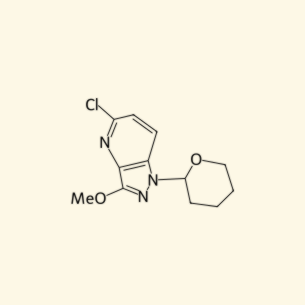 COc1nn(C2CCCCO2)c2ccc(Cl)nc12